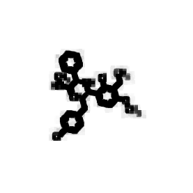 C=C(NC)[C@H](N[C@H](CCc1ccc(Cl)cc1)c1ccc(OC)c(CC)c1Cl)c1ccccc1